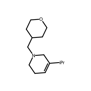 CC(C)C1=CCCN(CC2CCOCC2)C1